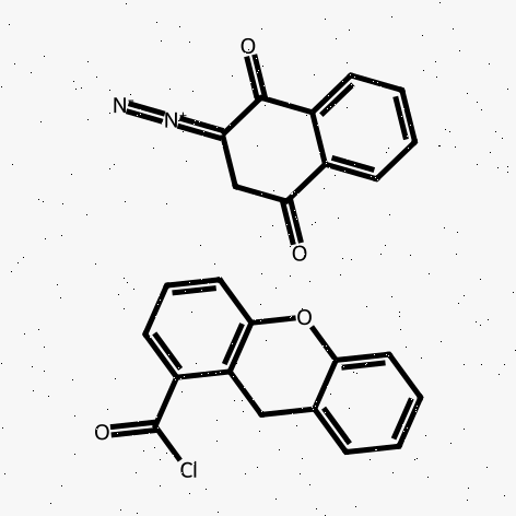 O=C(Cl)c1cccc2c1Cc1ccccc1O2.[N-]=[N+]=C1CC(=O)c2ccccc2C1=O